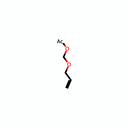 C=CCOCOC(C)=O